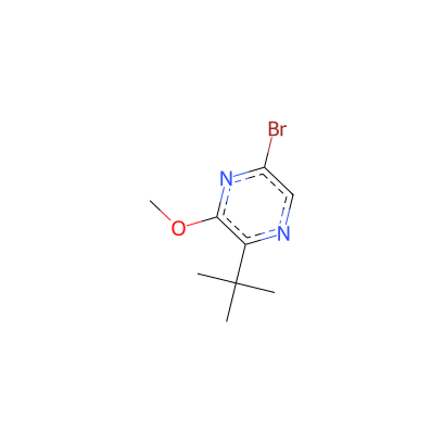 COc1nc(Br)cnc1C(C)(C)C